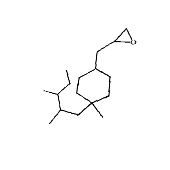 CCC(C)C(C)CC1(C)CCC(CC2CO2)CC1